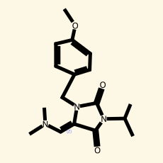 COc1ccc(CN2C(=O)N(C(C)C)C(=O)/C2=C/N(C)C)cc1